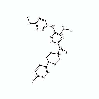 COc1ccc(Oc2cnc(C(=O)N3CCN(c4ccc(C)nc4)CC3)cc2OC)cc1